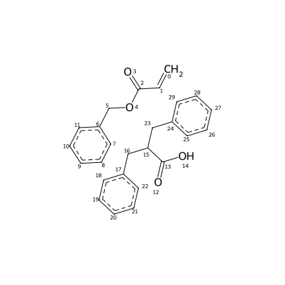 C=CC(=O)OCc1ccccc1.O=C(O)C(Cc1ccccc1)Cc1ccccc1